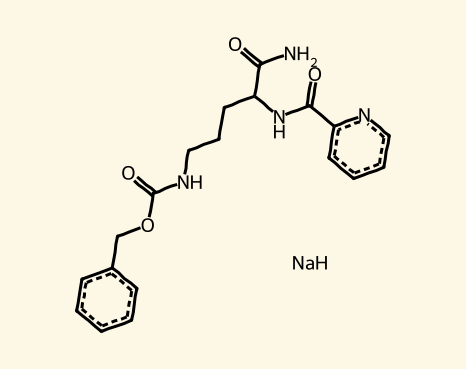 NC(=O)C(CCCNC(=O)OCc1ccccc1)NC(=O)c1ccccn1.[NaH]